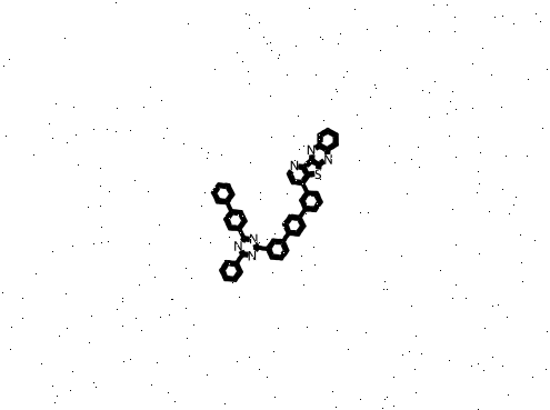 c1ccc(-c2ccc(-c3nc(-c4ccccc4)nc(-c4cccc(-c5ccc(-c6cccc(-c7ccnc8c7sc7nc9ccccc9nc78)c6)cc5)c4)n3)cc2)cc1